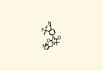 CC1(C)C(=O)N(c2ccc(C#N)c(C(F)(F)F)c2)C(=O)N1CC1=CCN=N1